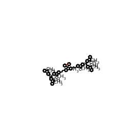 CC1(C)c2ccccc2-c2ccc(N(c3ccc4c(c3)C(C)(C)c3ccccc3-4)c3ccc4c(c3)C(C)(C)c3cc(/C=C/c5ccc6c(c5)C(c5ccccc5)(c5ccccc5)c5cc(/C=C/c7ccc8c(c7)C(C)(C)c7cc(N(c9ccc%10c(c9)C(C)(C)c9ccccc9-%10)c9ccc%10c(c9)C(C)(C)c9ccccc9-%10)ccc7-8)ccc5-6)ccc3-4)cc21